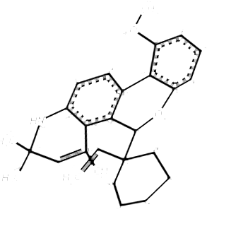 C=CC1(C2Oc3cccc(OC)c3-c3ccc4c(c32)C(C)=CC(C)(C)N4)CCCCC1